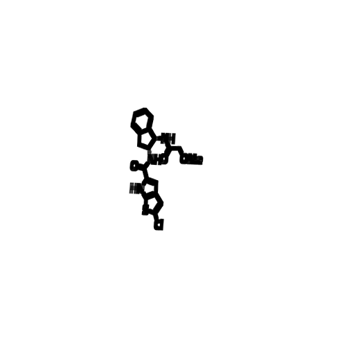 COCC(=O)N[C@@H]1c2ccccc2C[C@H]1NC(=O)c1cc2cc(Cl)sc2[nH]1